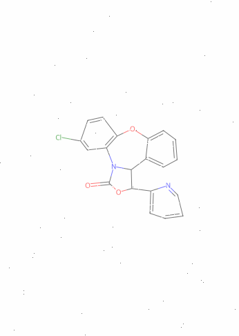 O=C1OC(c2ccccn2)C2c3ccccc3Oc3ccc(Cl)cc3N12